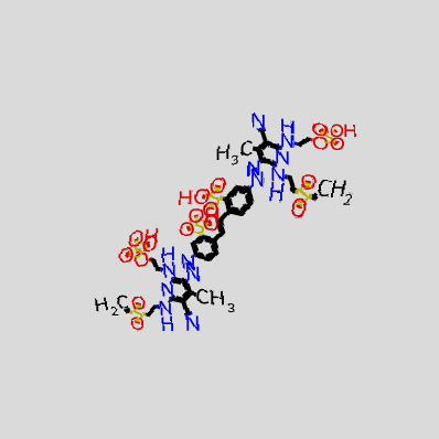 C=CS(=O)(=O)CCNc1nc(NCCOS(=O)(=O)O)c(/N=N/c2ccc(/C=C/c3ccc(/N=N/c4c(NCCS(=O)(=O)C=C)nc(NCCOS(=O)(=O)O)c(C#N)c4C)cc3S(=O)(=O)O)c(S(=O)(=O)O)c2)c(C)c1C#N